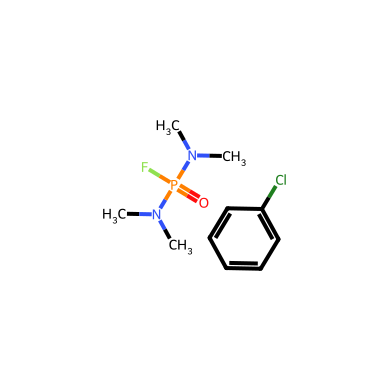 CN(C)P(=O)(F)N(C)C.Clc1ccccc1